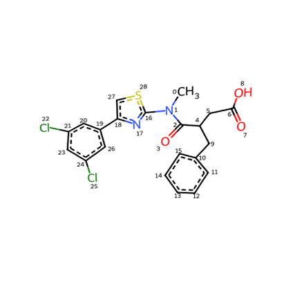 CN(C(=O)C(CC(=O)O)Cc1ccccc1)c1nc(-c2cc(Cl)cc(Cl)c2)cs1